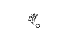 CC(O)(O)C(F)(F)S(=O)(=O)C1(COCc2ccccc2)CC1